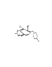 CC1CCC(Cc2cc3c(c(F)c2F)OC(C)C=C3)CC1